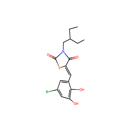 CCC(CC)CN1C(=O)S/C(=C\c2cc(Br)cc(O)c2O)C1=O